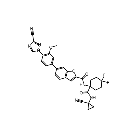 COc1cc(-c2ccc3cc(C(=O)NC4(C(=O)NC5(C#N)CC5)CCC(F)(F)CC4)oc3c2)ccc1-n1cnc(C#N)n1